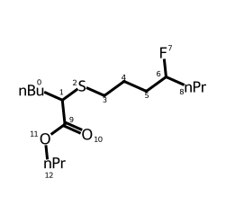 CCCCC(SCCCC(F)CCC)C(=O)OCCC